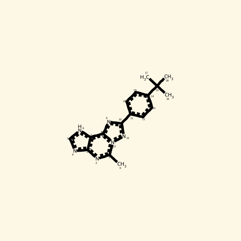 Cc1nc2nc[nH]c2c2nc(-c3ccc(C(C)(C)C)cc3)nn12